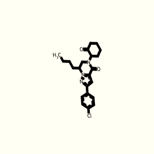 CCCCC1CN(C2CCCCC2=O)C(=O)c2cc(-c3ccc(Cl)cc3)nn21